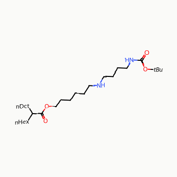 CCCCCCCCC(CCCCCC)C(=O)OCCCCCCNCCCCNC(=O)OC(C)(C)C